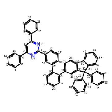 c1ccc(-c2cc(-c3ccccc3)nc(-c3cccc(-c4ccccc4-c4ccc5c(c4)C(c4ccccc4)(c4ccccc4)c4ccccc4-5)c3)n2)cc1